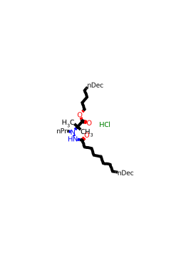 CCCCCCCCCCCCCCCCCC(=O)NN(CCC)C(C)(C)C(=O)OCCCCCCCCCCCCCC.Cl